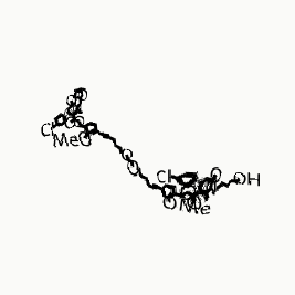 COc1cc(C#CCCCCOCCOCCCCC#Cc2ccc(COC(=O)C3=C(C)N(CC4CCCO4)C(=O)C[C@H]3c3ccc(Cl)cc3)c(OC)c2)ccc1COC(=O)C1=C(C)N(CCCCCO)C(=O)C[C@H]1c1ccc(Cl)cc1